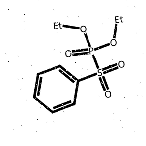 CCOP(=O)(OCC)S(=O)(=O)c1ccccc1